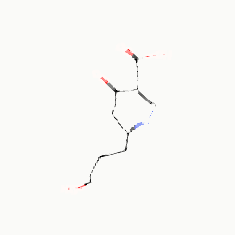 O=C(O)C1=CN=C(CCCO)CC1=O